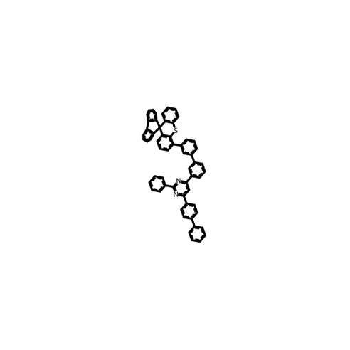 c1ccc(-c2ccc(-c3cc(-c4cccc(-c5cccc(-c6cccc7c6Sc6ccccc6C76c7ccccc7-c7ccccc76)c5)c4)nc(-c4ccccc4)n3)cc2)cc1